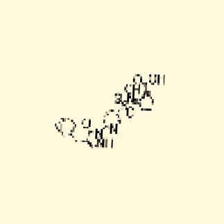 CN([C@@H]1CCC[C@@H]1C(=O)O)S(=O)(=O)c1ccc(-n2[nH]cc(Cc3cccnc3)c2=O)nc1